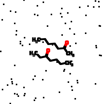 CCCCC(=O)CC.CCCCCC(C)=O